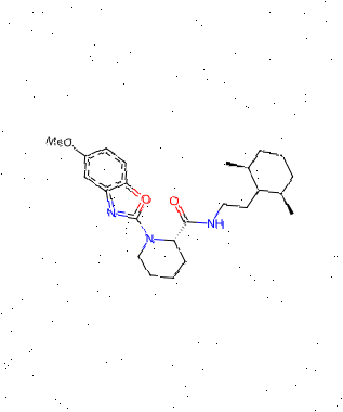 COc1ccc2oc(N3CCCC[C@H]3C(=O)NCCC3[C@H](C)CCC[C@@H]3C)nc2c1